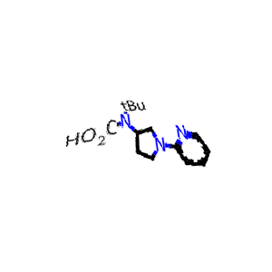 CC(C)(C)N(C(=O)O)C1CCN(c2ccccn2)C1